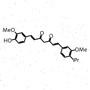 COc1cc(C=CC(=O)CC(=O)C=Cc2ccc(C(C)C)c(OC)c2)ccc1O